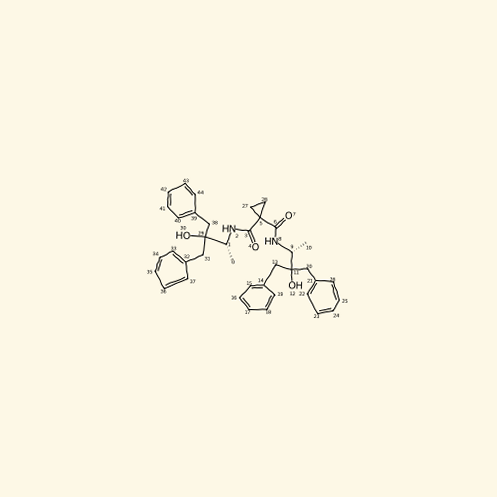 C[C@@H](NC(=O)C1(C(=O)N[C@H](C)C(O)(Cc2ccccc2)Cc2ccccc2)CC1)C(O)(Cc1ccccc1)Cc1ccccc1